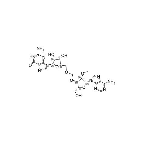 CO[C@@H]1[C@H](OCOC[C@H]2O[C@@H](n3cnc4c(=O)[nH]c(N)nc43)[C@H](O)[C@@H]2O)[C@@H](CO)O[C@H]1n1cnc2c(N)ncnc21